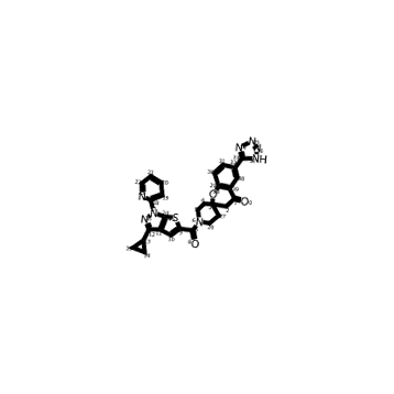 O=C1CC2(CCN(C(=O)c3cc4c(C5CC5)nn(-c5ccccn5)c4s3)CC2)Oc2ccc(-c3nnn[nH]3)cc21